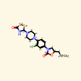 CC(=O)NCC1CN(c2ccc(N3CCN(C4NC(=O)SS4)CC3)c(F)c2)C(=O)O1